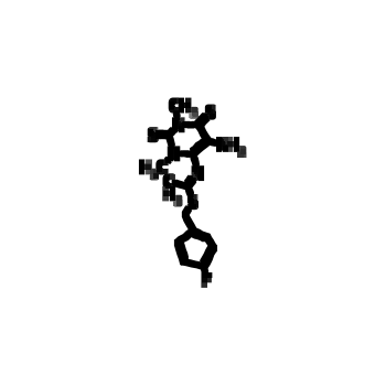 C/C(=N\c1c(N)c(=S)n(C)c(=S)n1C)SCc1ccc(F)cc1